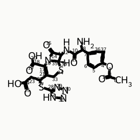 CC(=O)Oc1ccc(C(N)C(=O)NC2C(=O)N3C(C(=O)O)=C(C(CC(=O)O)Sc4nnn[nH]4)CS[C@@H]23)cc1